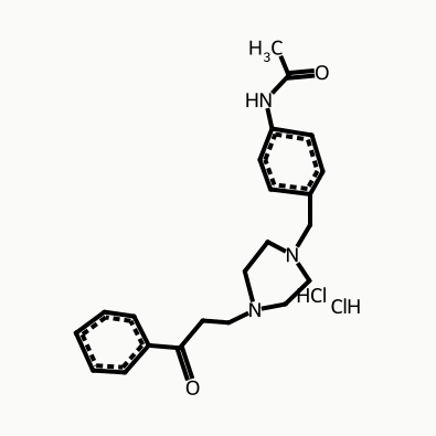 CC(=O)Nc1ccc(CN2CCN(CCC(=O)c3ccccc3)CC2)cc1.Cl.Cl